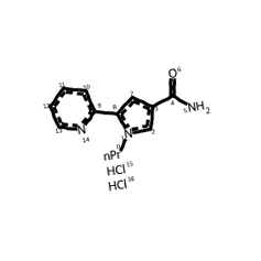 CCCn1cc(C(N)=O)cc1-c1ccccn1.Cl.Cl